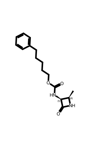 C[C@H]1NC(=O)[C@H]1NC(=O)OCCCCCc1ccccc1